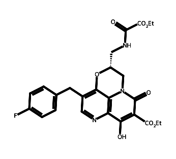 CCOC(=O)C(=O)NC[C@@H]1Cn2c(=O)c(C(=O)OCC)c(O)c3ncc(Cc4ccc(F)cc4)c(c32)O1